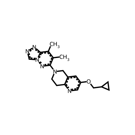 Cc1c(N2CCc3ncc(OCC4CC4)cc3C2)nn2cnnc2c1C